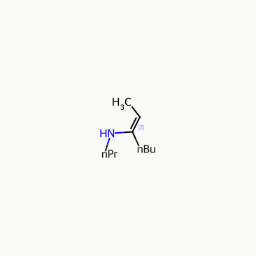 C/C=C(/CCCC)NCCC